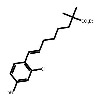 CCCc1ccc(/C=C/CCCCC(C)(C)C(=O)OCC)c(Cl)c1